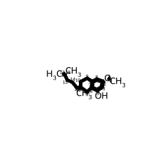 COc1cc(O)c2c(c1)CCC(C)(CCCC(C)C)C2